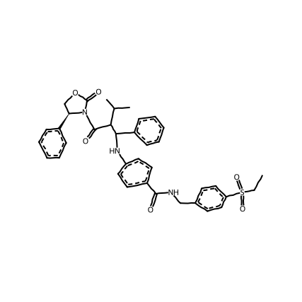 CCS(=O)(=O)c1ccc(CNC(=O)c2ccc(NC(c3ccccc3)C(C(=O)N3C(=O)OC[C@@H]3c3ccccc3)C(C)C)cc2)cc1